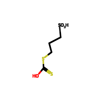 O=S(=O)(O)CCCSC(O)=S